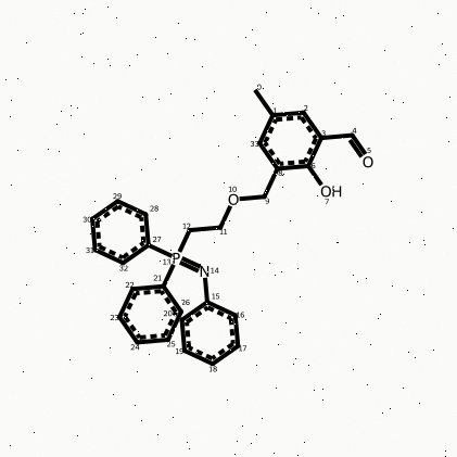 Cc1cc(C=O)c(O)c(COCCP(=Nc2ccccc2)(c2ccccc2)c2ccccc2)c1